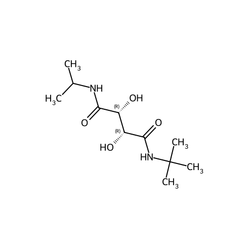 CC(C)NC(=O)[C@H](O)[C@@H](O)C(=O)NC(C)(C)C